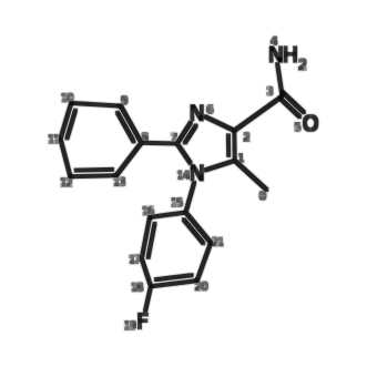 Cc1c(C(N)=O)nc(-c2ccccc2)n1-c1ccc(F)cc1